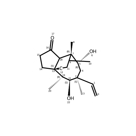 C=C[C@]1(C)C[C@@H](O)[C@]2(C)C(C)CC[C@]3(CCC(=O)C32)[C@@H](C)[C@@H]1O